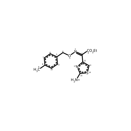 CCOC(=O)C(=NOCc1ccc(C)cc1)c1csc(N)n1